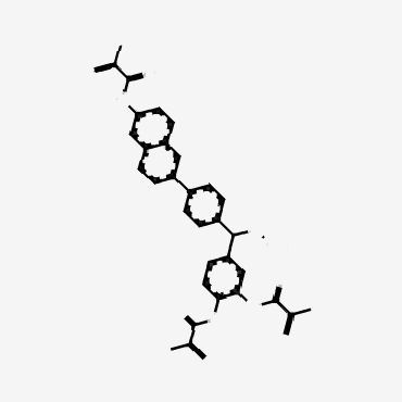 C=C(C)C(=O)Oc1ccc2cc(-c3ccc(C(OO)c4ccc(OC(=O)C(=C)C)c(OC(=O)C(=C)C)c4)cc3)ccc2c1